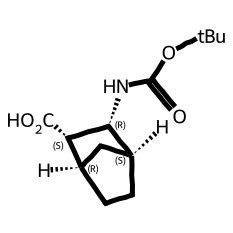 CC(C)(C)OC(=O)N[C@@H]1[C@H]2CC[C@H](C2)[C@@H]1C(=O)O